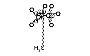 CCCCCCCCCCCCCCCCn1c(-c2cc(OCc3ccccc3)c(OCc3ccccc3)c(OCc3ccccc3)c2)c(OCc2ccccc2)c(=O)c2c(OCc3ccccc3)cc(OCc3ccccc3)cc21